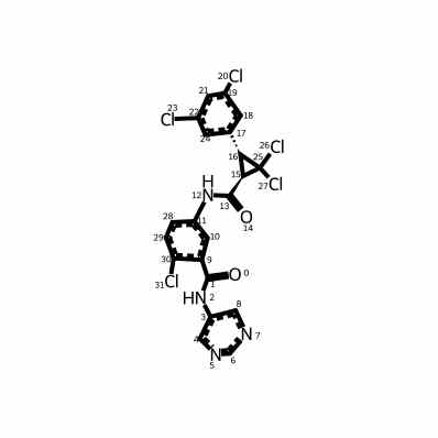 O=C(Nc1cncnc1)c1cc(NC(=O)[C@H]2[C@H](c3cc(Cl)cc(Cl)c3)C2(Cl)Cl)ccc1Cl